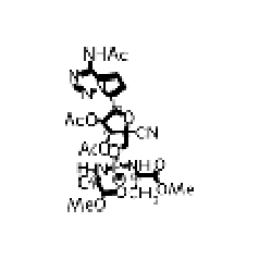 COC(=O)[C@H](C)NP(=O)(N[C@@H](C)C(=O)OC)OC[C@@]1(C#N)O[C@@H](c2ccc3c(NC(C)=O)ncnn23)[C@H](OC(C)=O)[C@@H]1OC(C)=O